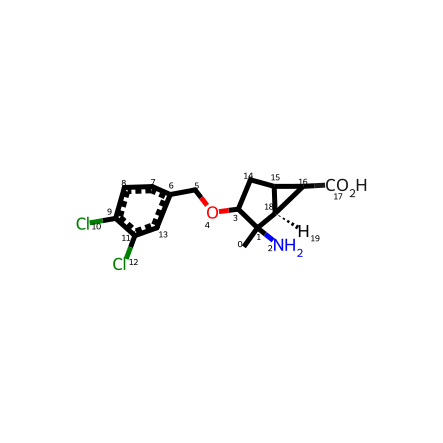 CC1(N)C(OCc2ccc(Cl)c(Cl)c2)CC2C(C(=O)O)[C@H]21